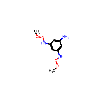 COONc1cc(N)cc(NOOC)c1